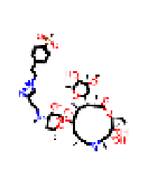 CC[C@H]1OC(=O)[C@H](C)[C@@H](C2C[C@@](C)(OC)[C@@H](O)[C@H](C)O2)[C@H](C)[C@@H](O[C@@H]2O[C@H](C)C[C@H](N(C)CCc3cn(CCc4ccc(S(C)(=O)=O)cc4)nn3)[C@H]2O)[C@](C)(O)C[C@@H](C)CN(C)[C@H](C)[C@@H](O)[C@]1(C)O